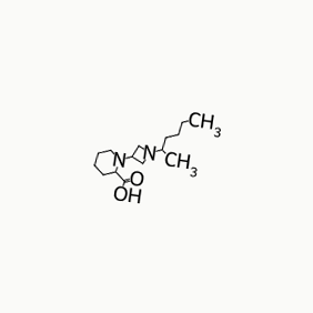 CCCCC(C)N1CC(N2CCCCC2C(=O)O)C1